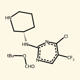 CC(C)(C)OC=O.FC(F)(F)c1cnc(N[C@H]2CCCNC2)nc1Cl